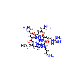 N=C(N)NCCCC(NC(=O)C(N)CCCCN)C(=O)NC(CCCCN)C(=O)NC(CCCCN)C(=O)NC(Cc1c[nH]cn1)C(=O)O